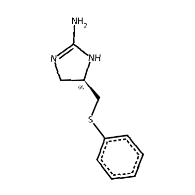 NC1=NC[C@H](CSc2ccccc2)N1